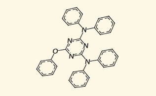 c1ccc(Oc2nc(N(c3ccccc3)c3ccccc3)nc(N(c3ccccc3)c3ccccc3)n2)cc1